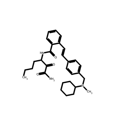 CCCCC(NC(=O)c1ccccc1C=Cc1ccc(CN(C)C2CCCCC2)cc1)C(=O)C(N)=O